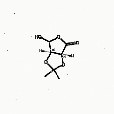 CC1(C)O[C@@H]2C(=O)OC(O)[C@@H]2O1